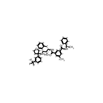 Cc1cc(C(=O)N[C@@H](Cc2ccccc2)[C@H](O)CNC2(c3cccc(C(F)(F)F)c3)CCOC2)cc(C(=O)N[C@H](C)c2ccccc2)c1